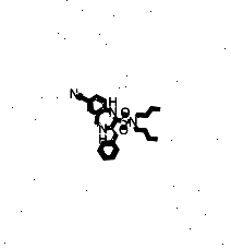 CCCCN(CCCC)S(=O)(=O)C1Nc2ccc(C#N)cc2CN[C@@H]1Cc1ccccc1